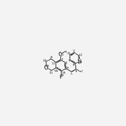 COc1cc(CC(C)c2ccccn2)c(F)c2c1CCOC2